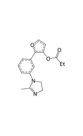 CCC(=O)Oc1ccoc1-c1cccc(N2CCN=C2C)c1